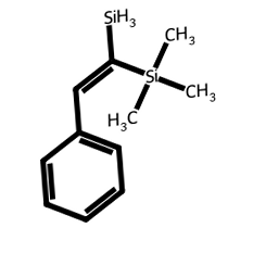 C[Si](C)(C)C([SiH3])=Cc1ccccc1